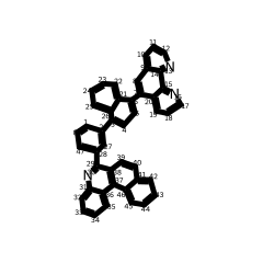 c1cc(-c2ccc(-c3cc4cccnc4c4ncccc34)c3ccccc23)cc(-c2nc3ccccc3c3c2ccc2ccccc23)c1